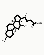 COC(=O)CC[C@@H](C)C1CC[C@H]2C3CC[C@@H]4C[C@H](O)CC[C@]4(C)[C@H]3C[C@H](O)[C@]12C